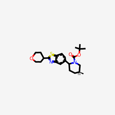 C[C@H]1CCC(c2ccc3sc(C4CCOCC4)nc3c2)N(C(=O)OC(C)(C)C)C1